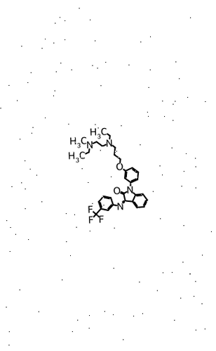 CCN(C)CCN(CC)CCCOc1cccc(N2C(=O)C(=Nc3cccc(C(F)(F)F)c3)c3ccccc32)c1